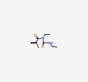 C=C(C)C(=O)N(CC)C(=O)NCC